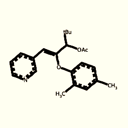 CC(=O)OC(C(=Cc1cccnc1)Oc1ccc(C)cc1C)C(C)(C)C